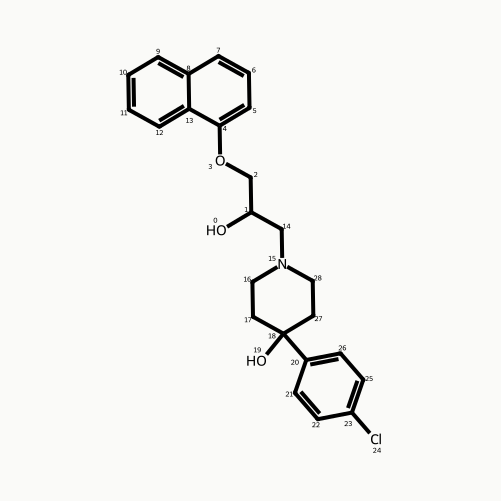 OC(COc1cccc2ccccc12)CN1CCC(O)(c2ccc(Cl)cc2)CC1